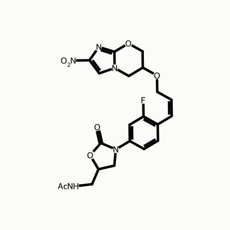 CC(=O)NCC1CN(c2ccc(/C=C\COC3COc4nc([N+](=O)[O-])cn4C3)c(F)c2)C(=O)O1